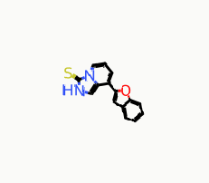 S=c1[nH]cc2c(-c3cc4ccccc4o3)cccn12